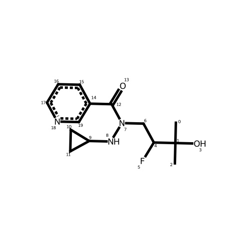 CC(C)(O)C(F)CN(NC1CC1)C(=O)c1cccnc1